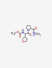 CNC(=O)C1CCCN1C(=O)C(NC(=O)OC)C1CCOC1